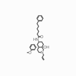 C=CCN1CC[C@@]2(c3cccc(OC)c3)C[C@@H](NC(=O)CCCCCc3ccccc3)CC[C@]2(O)C1